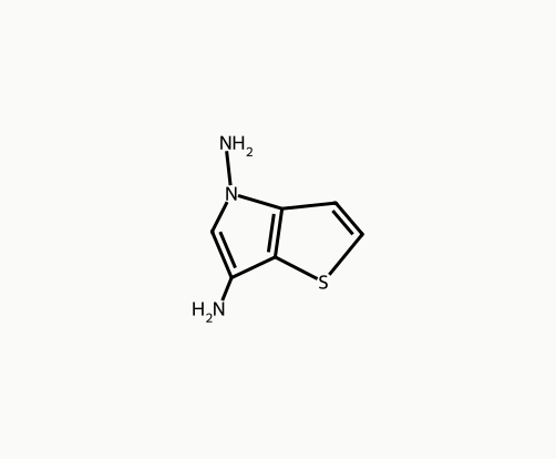 Nc1cn(N)c2ccsc12